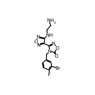 NCCNc1nonc1-c1noc(=O)n1Cc1ccc(F)c(Br)c1